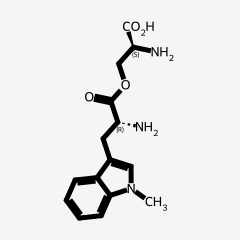 Cn1cc(C[C@@H](N)C(=O)OC[C@H](N)C(=O)O)c2ccccc21